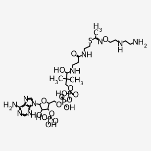 CC(=NOCCNCCN)SCCNC(=O)CCNC(O)C(C)(C)COP(=O)(O)OP(=O)(O)OCC1OC(n2cnc3c(N)ncnc32)C(O)C1OP(=O)(O)O